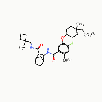 CCOC(=O)CC1(C)CCC(Oc2cc(C(=O)NC3C4CCC(C4)C3C(=O)NCC3(C)CCC3)c(OC)cc2F)CC1